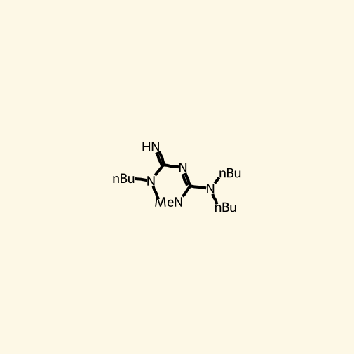 CCCCN(C)C(=N)/N=C(\NC)N(CCCC)CCCC